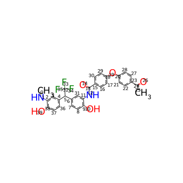 CNc1cc(C(c2ccc(O)c(NC(=O)c3ccc(Oc4ccc(C(C)=O)cc4)cc3)c2)C(F)(F)F)ccc1O